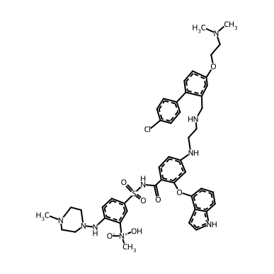 CN(C)CCOc1ccc(-c2ccc(Cl)cc2)c(CNCCNc2ccc(C(=O)NS(=O)(=O)c3ccc(NN4CCN(C)CC4)c([N+](C)([O-])O)c3)c(Oc3cccc4[nH]ccc34)c2)c1